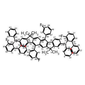 CC1(C)c2cc(N(c3ccccc3)c3c(F)cccc3-c3ccccc3)ccc2-c2c1cc1c(-c3cccc(F)c3)c3c(cc1c2-c1cccc(F)c1)C(C)(C)c1cc(N(c2ccccc2)c2c(F)cccc2-c2ccccc2)ccc1-3